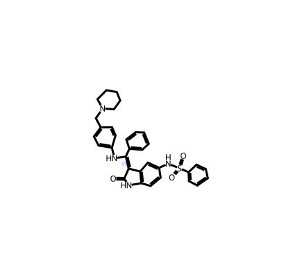 O=C1Nc2ccc(NS(=O)(=O)c3ccccc3)cc2/C1=C(/Nc1ccc(CN2CCCCC2)cc1)c1ccccc1